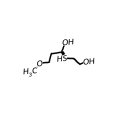 COCCC(O)=[SH]CCO